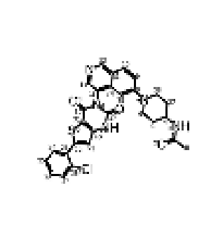 CC(=O)NC1CCN(c2ccc3cncc(-n4c(=O)[nH]c5cc(-c6ccccc6Cl)sc5c4=O)c3c2)CC1